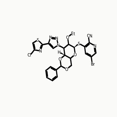 CCOC1C(n2cc(-c3nc(Cl)cs3)nn2)[C@H]2OC(c3ccccc3)OCC2O[C@@H]1Sc1cc(Br)cnc1C#N